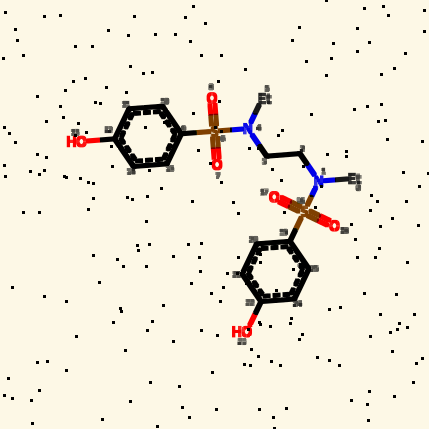 CCN(CCN(CC)S(=O)(=O)c1ccc(O)cc1)S(=O)(=O)c1ccc(O)cc1